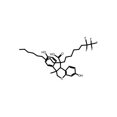 CCCCCCCCCC(CCCCCCC(F)(F)C(F)(F)F)(C(=O)O)C1c2ccc(O)cc2SCC1(C)c1ccc(O)cc1